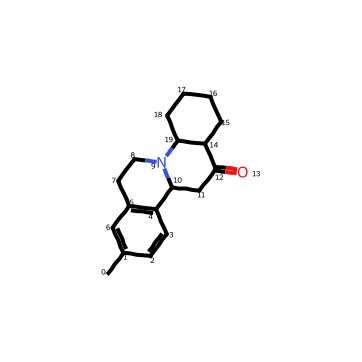 Cc1ccc2c(c1)CCN1C2CC(=O)C2CCCCC21